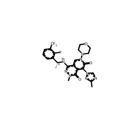 Cc1ncn(-c2c(=O)n(N3CCOCC3)cc3c(N[C@H](C)c4cccc(C(F)(F)F)c4F)nn(C)c(=O)c23)n1